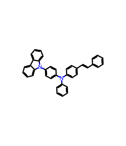 C(=C\c1ccc(N(c2ccccc2)c2ccc(-n3c4ccccc4c4ccccc43)cc2)cc1)/c1ccccc1